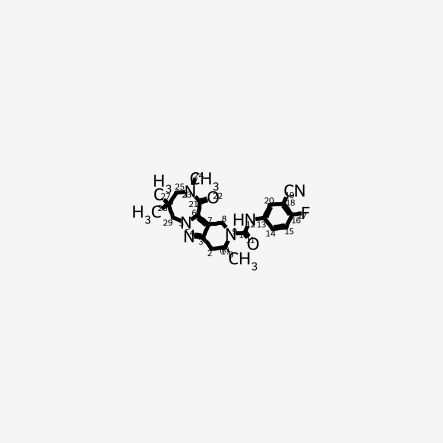 C[C@@H]1Cc2nn3c(c2CN1C(=O)Nc1ccc(F)c(C#N)c1)C(=O)N(C)CC(C)(C)C3